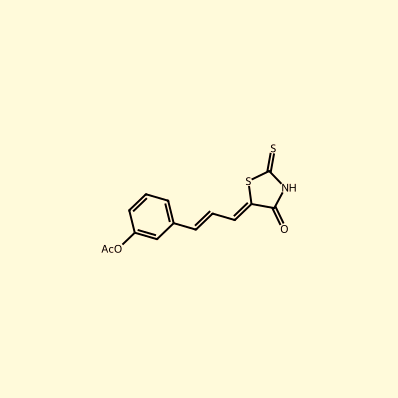 CC(=O)Oc1cccc(/C=C/C=C2\SC(=S)NC2=O)c1